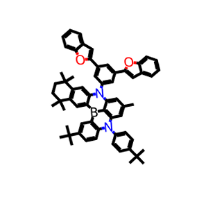 Cc1cc2c3c(c1)N(c1cc(-c4cc5ccccc5o4)cc(-c4cc5ccccc5o4)c1)c1cc4c(cc1B3c1cc(C(C)(C)C)ccc1N2c1ccc(C(C)(C)C)cc1)C(C)(C)CCC4(C)C